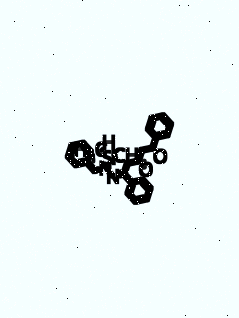 C[SiH](C)N(Cc1ccccc1)N=C(CC(=O)CC(=O)c1ccccc1)c1ccccc1